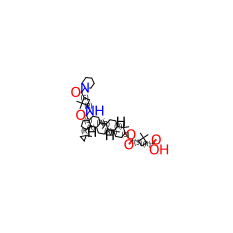 CC1([C@@H]2CC[C@]3(C(=O)N[C@@H]4C[C@H](C(=O)N5CCCCC5)C4(C)C)CC[C@]4(C)C(CC[C@@H]5[C@@]6(C)CC[C@H](OC(=O)[C@H]7C[C@@H](C(=O)O)C7(C)C)C(C)(C)[C@@H]6CC[C@]54C)[C@@H]23)CC1